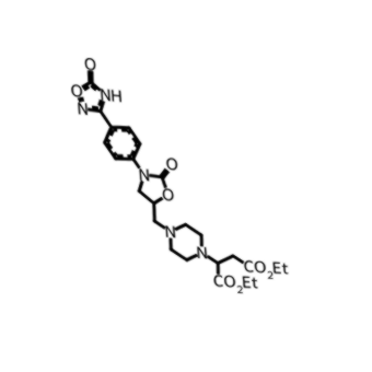 CCOC(=O)CC(C(=O)OCC)N1CCN(CC2CN(c3ccc(-c4noc(=O)[nH]4)cc3)C(=O)O2)CC1